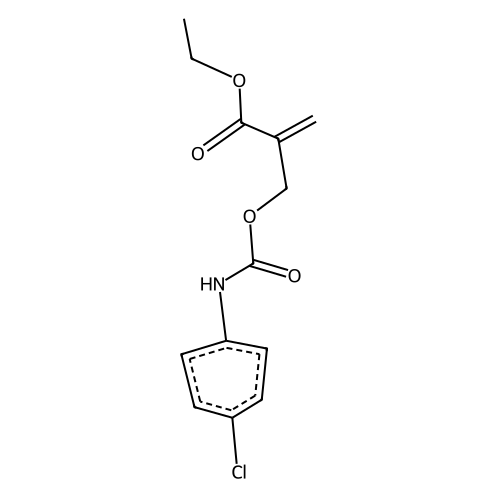 C=C(COC(=O)Nc1ccc(Cl)cc1)C(=O)OCC